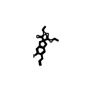 C=CCc1cc2c(cc1F)CC(C(=O)OCC)(C(=O)OCC)C2